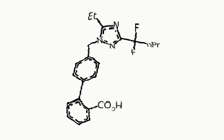 CCCC(F)(F)c1nc(CC)n(Cc2ccc(-c3ccccc3C(=O)O)cc2)n1